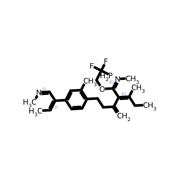 C=C(CCc1ccc(C(/C=N\C)=C/C)cc1C)C(/C(=N\C)OCC(F)(F)P)=C(/C)CC